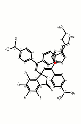 COCCOc1ccc(C(=CC2(C=C(c3ccc(OCCOC)cc3)c3ccc(N(C)C)cc3)OC(=O)c3c(Cl)c(Cl)c(Cl)c(Cl)c32)c2ccc(N(C)C)cc2)cc1